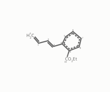 C=CC=Cc1ccccc1C(=O)OCC